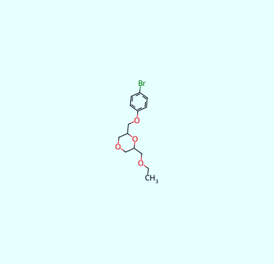 CCOCC1COCC(COc2ccc(Br)cc2)O1